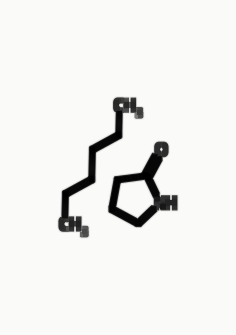 CCCCCC.O=C1CCCN1